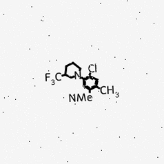 CNc1cc(N2CCCC(C(F)(F)F)C2)c(Cl)cc1C